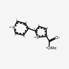 COC(=O)c1ccc(-c2ccncc2)s1